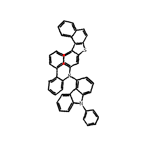 c1ccc(-c2ccccc2N(c2ccc3c(c2)sc2ccc4ccccc4c23)c2cccc3c2c2ccccc2n3-c2ccccc2)cc1